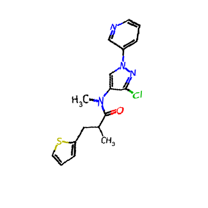 CC(Cc1cccs1)C(=O)N(C)c1cn(-c2cccnc2)nc1Cl